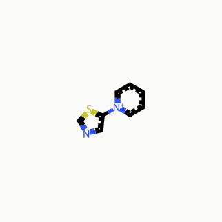 c1cc[n+](-c2cncs2)cc1